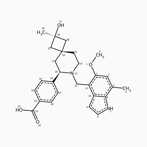 COc1cc(C)c2[nH]ccc2c1CN1CC[C@]2(C[C@@H]1c1ccc(C(=O)O)cc1)C[C@](C)(O)C2